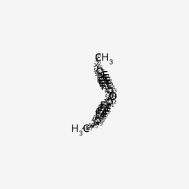 CCCCc1ccc(C(F)(F)C(F)(F)C(F)(F)C(F)(F)c2ccc(Oc3ccc(C(F)(F)C(F)(F)C(F)(F)C(F)(F)c4ccc(CCCC)cc4)cc3)cc2)cc1